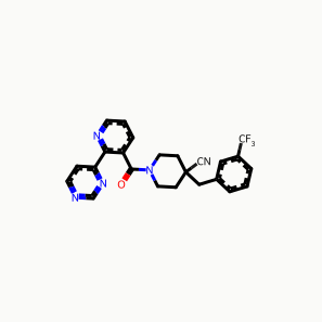 N#CC1(Cc2cccc(C(F)(F)F)c2)CCN(C(=O)c2cccnc2-c2ccncn2)CC1